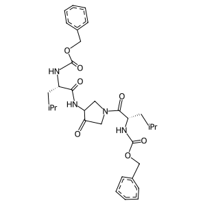 CC(C)C[C@H](NC(=O)OCc1ccccc1)C(=O)NC1CN(C(=O)[C@H](CC(C)C)NC(=O)OCc2ccccc2)CC1=O